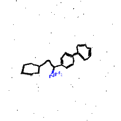 NC(CC1CCCCC1)c1ccc(-c2cc[c]cc2)cc1